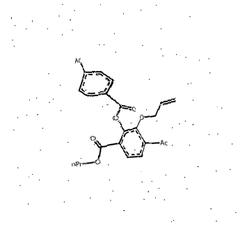 C=CCOc1c(C(C)=O)ccc(C(=O)OCCC)c1OC(=O)c1ccc(C(C)=O)cc1